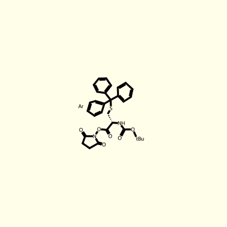 CC(C)(C)OC(=O)N[C@@H](CSC(c1ccccc1)(c1ccccc1)c1ccccc1)C(=O)ON1C(=O)CCC1=O.[Ar]